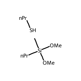 CCC[Si](C)(OC)OC.[CH2]CCS